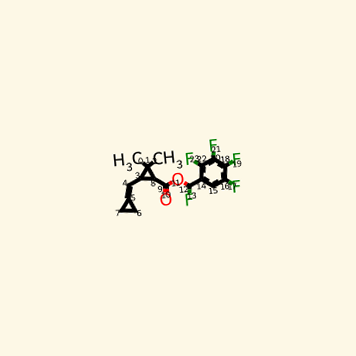 CC1(C)C(C=C2CC2)C1C(=O)OC(F)c1cc(F)c(F)c(F)c1F